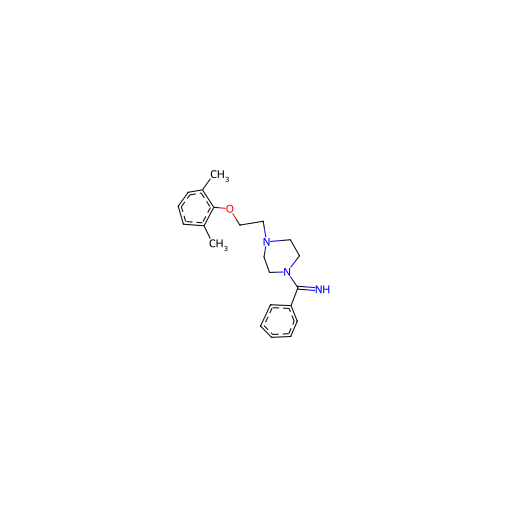 Cc1cccc(C)c1OCCN1CCN(C(=N)c2ccccc2)CC1